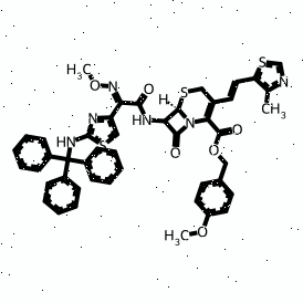 CO/N=C(/C(=O)NC1C(=O)N2C(C(=O)OCc3ccc(OC)cc3)=C(/C=C/c3scnc3C)CS[C@H]12)c1csc(NC(c2ccccc2)(c2ccccc2)c2ccccc2)n1